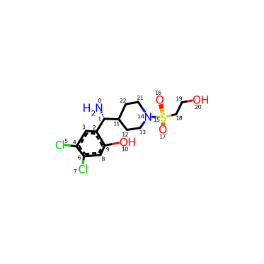 N[C@@H](c1cc(Cl)c(Cl)cc1O)C1CCN(S(=O)(=O)CCO)CC1